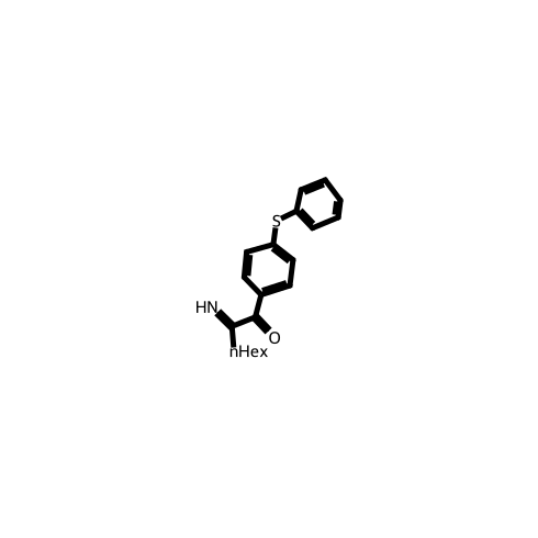 CCCCCCC(=N)C(=O)c1ccc(Sc2ccccc2)cc1